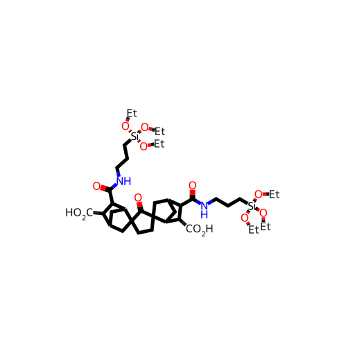 CCO[Si](CCCNC(=O)C1C2CC(C1C(=O)O)C1(CCC3(CC4CC3C(C(=O)NCCC[Si](OCC)(OCC)OCC)C4C(=O)O)C1=O)C2)(OCC)OCC